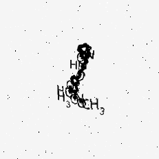 CON=C(C)C(Cc1cccc(OCCNCc2nc3ccccc3o2)c1)C(=O)O